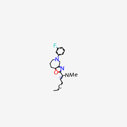 CC=C=C/C=C(\NC)c1nc2c(o1)CCCN(c1cccc(F)c1)C2